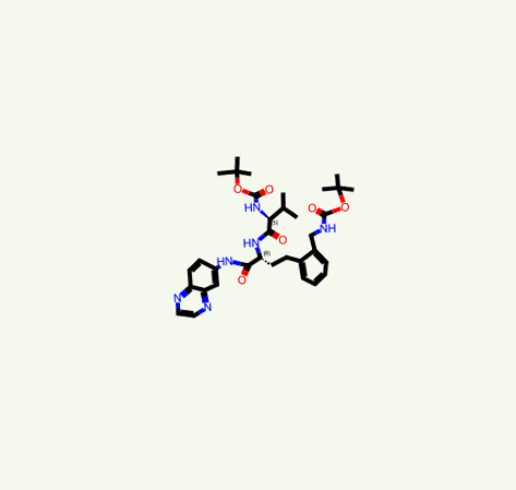 CC(C)[C@H](NC(=O)OC(C)(C)C)C(=O)N[C@H](CCc1ccccc1CNC(=O)OC(C)(C)C)C(=O)Nc1ccc2nccnc2c1